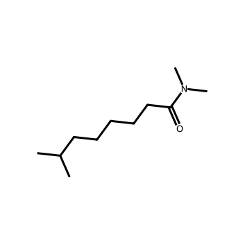 CC(C)CCCCCC(=O)N(C)C